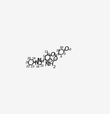 COc1ccc(C(=O)Oc2c(C)cc(-c3ccn(-c4ccccc4)n3)c(N)c2C)cc1